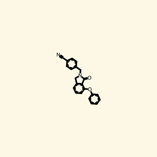 N#Cc1ccc(CN2Cc3cccc(Oc4ccccc4)c3C2=O)cc1